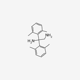 Cc1cccc(C)c1C(N)(CN)c1c(C)cccc1C